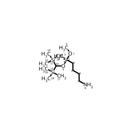 CO[Si](C)(CCCCN)OC([Si](C)(C)C)[Si](C)(C)C